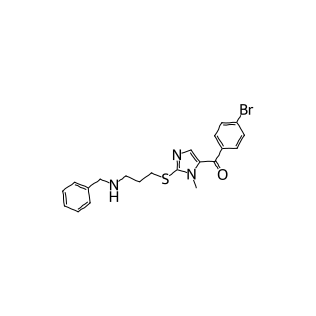 Cn1c(C(=O)c2ccc(Br)cc2)cnc1SCCCNCc1ccccc1